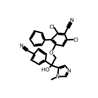 Cn1cncc1C(O)(COc1cc(Cl)c(C#N)c(Cl)c1-c1ccccc1)c1ccc(C#N)cc1